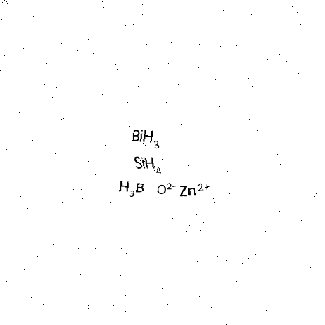 B.[BiH3].[O-2].[SiH4].[Zn+2]